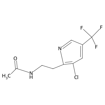 CC(=O)NCCc1ncc(C(F)(F)F)cc1Cl